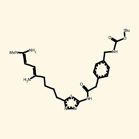 CN/C(N)=C/C=C(\N)CCCCc1nnc(NC(=O)Cc2ccc(CNC(=O)OC(C)(C)C)cc2)s1